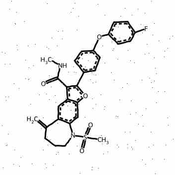 C=C1CCCN(S(C)(=O)=O)c2cc3oc(-c4ccc(Oc5ccc(F)cc5)cc4)c(C(=O)NC)c3cc21